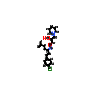 CC(C)CCC(/C=C/c1ccc(Cl)cc1)=N\OC[C@H](O)CN1CCCCC1